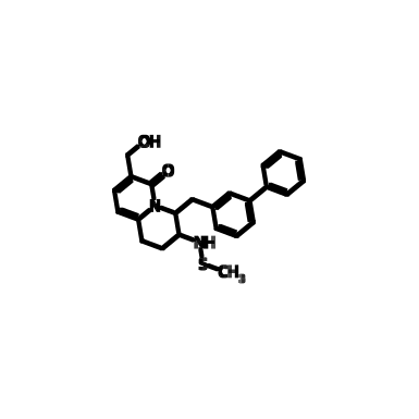 CSNC1CCc2ccc(CO)c(=O)n2C1Cc1cccc(-c2ccccc2)c1